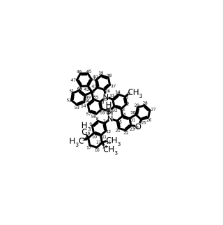 Cc1cc(-c2c(Nc3ccc4c(c3)C(C)(C)CCC4(C)C)ccc3oc4ccccc4c23)c2c(c1)N1c3ccccc3C(c3ccccc3)(c3ccccc3)c3cccc(c31)B2